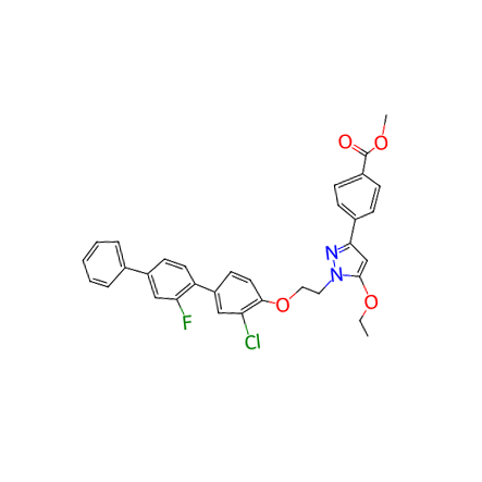 CCOc1cc(-c2ccc(C(=O)OC)cc2)nn1CCOc1ccc(-c2ccc(-c3ccccc3)cc2F)cc1Cl